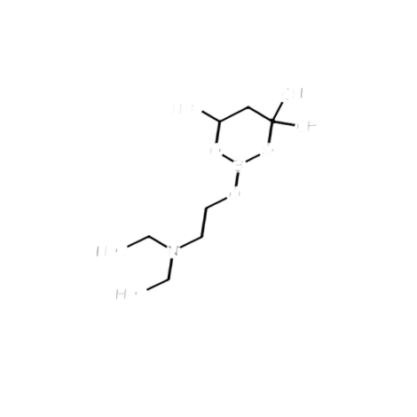 CCN(CC)CCOB1OC(C)CC(C)(C)O1